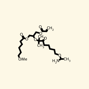 C=CC(=O)OCC(COC(=O)CCCCCOC)OC(C)(C)C(=O)CCCCCOC(C)N